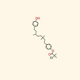 CCC(C)(C)C(=O)Oc1ccc(CCC(C)(C)CCC(C)CCc2ccc(O)cc2)cc1